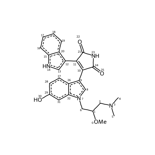 COC(CN(C)C)Cn1cc(C2=C(c3c[nH]c4ccccc34)C(=O)NC2=O)c2ccc(O)cc21